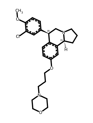 COc1ccc([C@H]2CN3CCC[C@H]3c3cc(OCCCN4CCOCC4)ccc32)cc1Cl